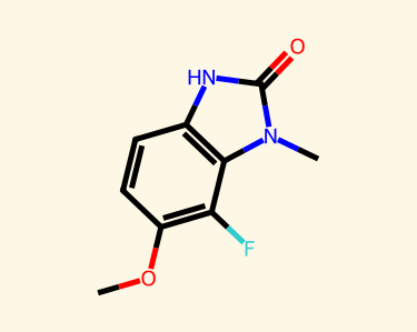 COc1ccc2[nH]c(=O)n(C)c2c1F